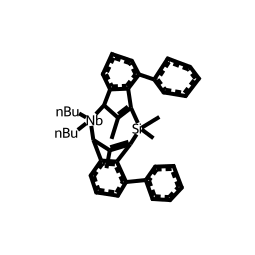 CCC[CH2][Nb]1([CH2]CCC)[CH]2C(C)=C(c3c(-c4ccccc4)cccc32)[Si](C)(C)C2=C(C)[CH]1c1cccc(-c3ccccc3)c12